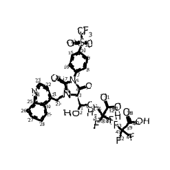 CC(O)[C@@H]1C(=O)N(c2ccc(S(=O)(=O)C(F)(F)F)cc2)C(=O)N1Cc1ccnc2ccccc12.O=C(O)C(F)(F)F.O=C(O)C(F)(F)F